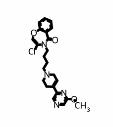 COc1cncc(C2=CCN(CCCCN3C(=O)c4ccccc4OC=C3Cl)CC2)n1